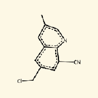 Cc1cnc2c(C#N)cc(CCl)cc2c1